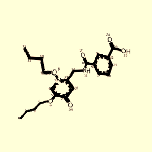 CCCCOc1cn(OCCCC)c(CNC(=O)c2cccc(C(=O)O)c2)cc1=O